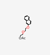 CC(=O)OCCOCCOc1ccc2ccccc2c1